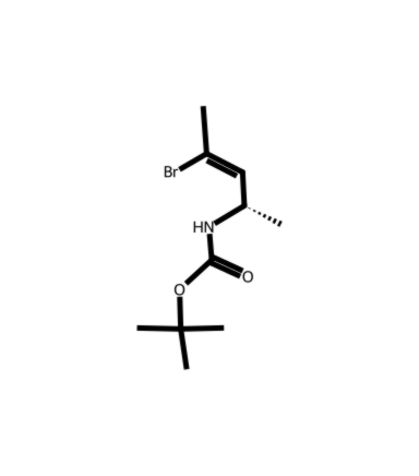 C/C(Br)=C/[C@H](C)NC(=O)OC(C)(C)C